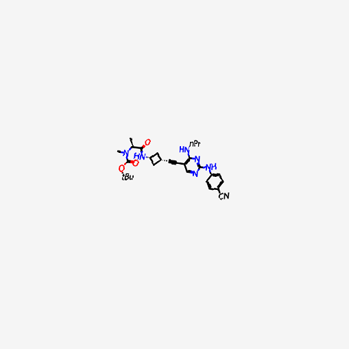 CCCNc1nc(Nc2ccc(C#N)cc2)ncc1C#C[C@H]1C[C@@H](NC(=O)[C@H](C)N(C)C(=O)OC(C)(C)C)C1